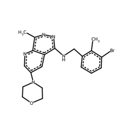 Cc1c(Br)cccc1CNc1nnc(C)c2ncc(N3CCOCC3)cc12